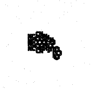 Cc1c(C#N)c(C#N)c(C#N)c2c1c1c(C)c(-c3ccc(-c4ccc5ccc6cccnc6c5n4)c4ccccc34)c(C#N)c(C#N)c1c1c(C#N)c(C#N)c(C#N)c(C#N)c21